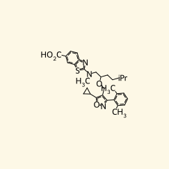 Cc1cccc(C)c1-c1noc(C2CC2)c1COC(CCC(C)C)CN(C)c1nc2ccc(C(=O)O)cc2s1